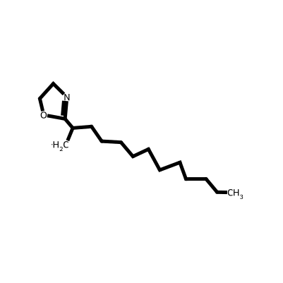 [CH2]C(CCCCCCCCCCC)C1=NCCO1